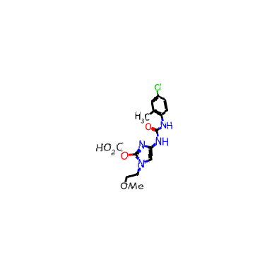 COCCn1cc(NC(=O)Nc2ccc(Cl)cc2C)nc1OC(=O)O